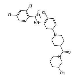 CC(Nc1cc(N2CCC(C(=O)N3CCCC(O)C3)CC2)ccc1Cl)c1ccc(Cl)cc1Cl